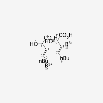 CCCCC=CC(O)C(=O)O.CCCCC=CC(O)C(=O)O.[B+3].[B+3]